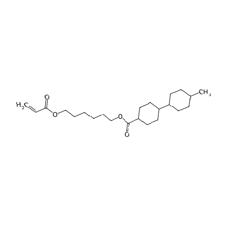 C=CC(=O)OCCCCCCOC(=O)C1CCC(C2CCC(C)CC2)CC1